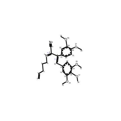 C=CCCC/N=C(C#N)\C(=C\c1cc(OC)c(OC)c(OC)c1)c1ccc(OC)c(OC)c1